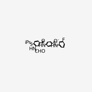 CC(C)Sc1ccc(C(=O)Nc2ccc([S+]([O-])Nc3cccc(F)c3)cc2)cc1NC=O